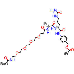 CC(C)COC(=O)NCCOCCOCCOCCOCCC(=O)N[C@H](C(=O)N[C@@H](CCCNC(N)=O)C(=O)Nc1ccc(COC(=O)C(C)C)cc1)C(C)C